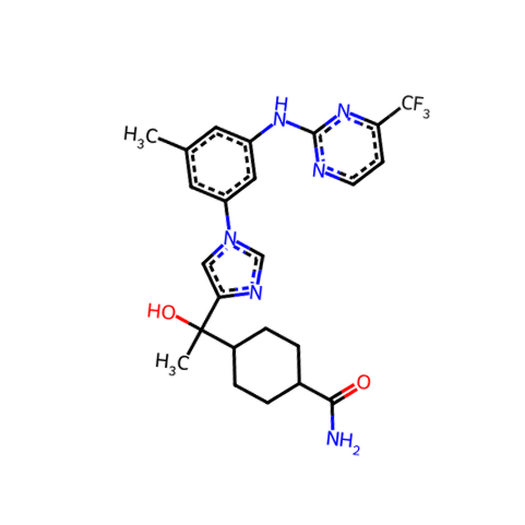 Cc1cc(Nc2nccc(C(F)(F)F)n2)cc(-n2cnc(C(C)(O)C3CCC(C(N)=O)CC3)c2)c1